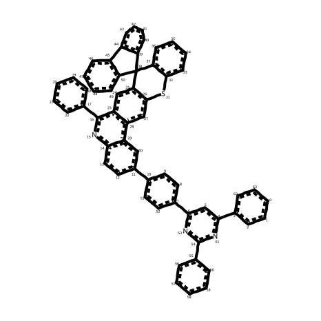 c1ccc(-c2cc(-c3ccc(-c4ccc5nc(-c6ccccc6)c6cc7c(cc6c5c4)Sc4ccccc4C74c5ccccc5-c5ccccc54)cc3)nc(-c3ccccc3)n2)cc1